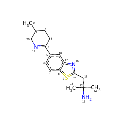 CC1CCC(c2ccc3sc(CC(C)(C)N)nc3c2)=NC1